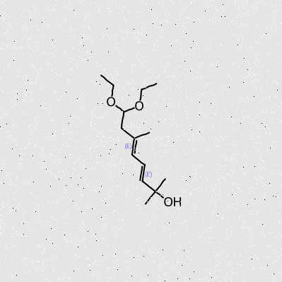 CCOC(C/C(C)=C/C=C/C(C)(C)O)OCC